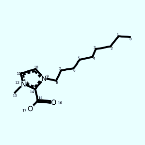 CCCCCCCCCn1cc[n+](C)c1C(=O)[O-]